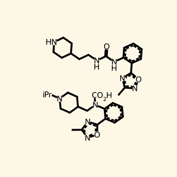 Cc1noc(-c2ccccc2N(CC2CCN(C(C)C)CC2)C(=O)O)n1.Cc1noc(-c2ccccc2NC(=O)NCCC2CCNCC2)n1